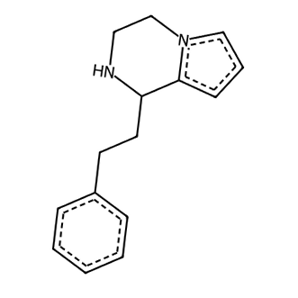 c1ccc(CCC2NCCn3cccc32)cc1